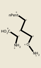 CCCCCCCCON.NCC(=O)O